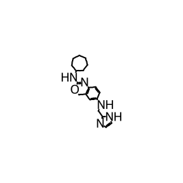 c1c[nH]c(CNc2ccc3c(c2)COC(NC2CCCCCC2)=N3)n1